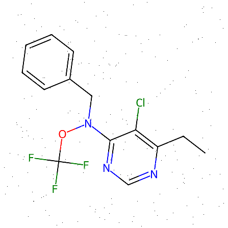 CCc1ncnc(N(Cc2ccccc2)OC(F)(F)F)c1Cl